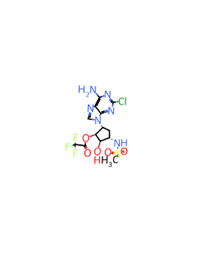 CS(=O)(=O)N[C@H]1C[C@@H](n2cnc3c(N)nc(Cl)nc32)[C@H](OC(=O)C(F)(F)F)[C@@H]1O